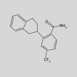 NC(=O)c1ccc(C(F)(F)F)cc1C1CCc2ccccc2C1